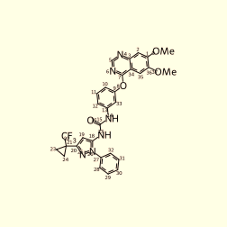 COc1cc2ncnc(Oc3cccc(NC(=O)Nc4cc(C5(C(F)(F)F)CC5)nn4-c4ccccc4)c3)c2cc1OC